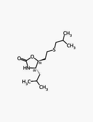 CC(C)CSCC[C@@H]1OC(=O)N[C@H]1CC(C)C